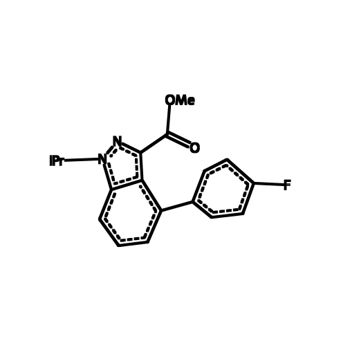 COC(=O)c1nn(C(C)C)c2cccc(-c3ccc(F)cc3)c12